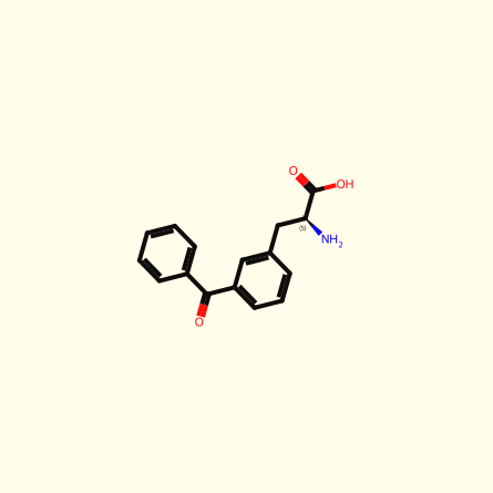 N[C@@H](Cc1cccc(C(=O)c2ccccc2)c1)C(=O)O